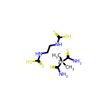 S=C(S)NCCNC(=S)S.[CH3][Zn]([CH3])([C](N)=S)[C](N)=S